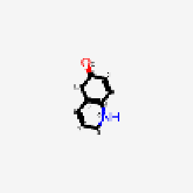 O=C1C=CC2=C(C=CCN2)C1